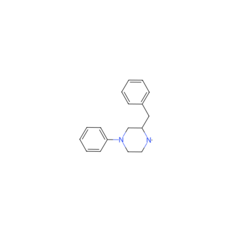 c1ccc(CC2CN(c3ccccc3)CC[N]2)cc1